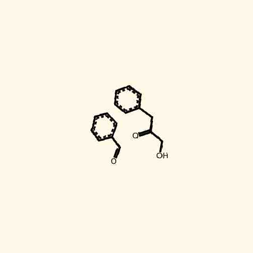 O=C(CO)Cc1ccccc1.O=Cc1ccccc1